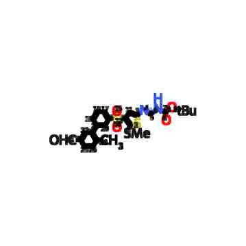 CSc1sc(/N=C/NC(=O)OC(C)(C)C)cc1S(=O)(=O)c1cccc(-c2cc(C=O)ccc2C)c1